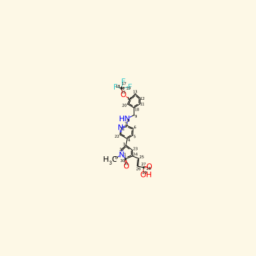 Cn1cc(-c2ccc(NCc3cccc(OC(F)(F)F)c3)nc2)cc(C=CC(=O)O)c1=O